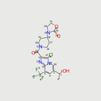 CC(O)c1cc(C(F)(F)F)c2nc(C(=O)N3CCC(N4CCOC4=O)CC3)c(Cl)n2c1